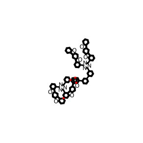 c1cc(-c2ccc(-c3cccc(-c4nc(-c5cccc6oc7cc8oc9ccccc9c8cc7c56)nc(-c5cccc6oc7cc8oc9ccccc9c8cc7c56)n4)c3)cc2)cc(-c2cccc(-c3nc(-c4cccc5c4oc4cc6oc7ccccc7c6cc45)nc(-c4cccc5c4oc4cc6oc7ccccc7c6cc45)n3)c2)c1